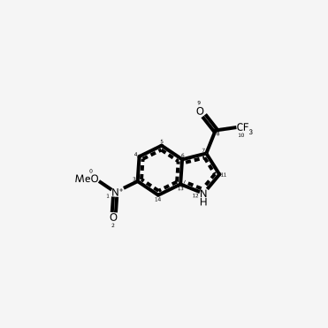 CO[N+](=O)c1ccc2c(C(=O)C(F)(F)F)c[nH]c2c1